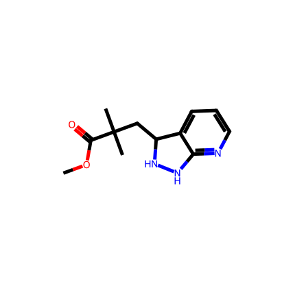 COC(=O)C(C)(C)CC1NNc2ncccc21